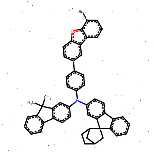 CC(C)(C)c1cccc2c1oc1ccc(-c3ccc(N(c4ccc5c(c4)C(C)(C)c4ccccc4-5)c4ccc5c(c4)C4(CC6CCC4C6)c4ccccc4-5)cc3)cc12